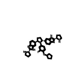 Fc1cc(N2[C@@H](c3ccc4nc([C@@H]5CCCN5)[nH]c4c3)CC[C@@H]2c2ccc3nc([C@@H]4CCCN4)[nH]c3c2)ccc1OC1CCCC1